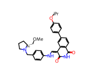 COC[C@H]1CCCN1Cc1ccc(NC=C2C(=O)NC(=O)c3ccc(-c4ccc(OC(C)C)cc4)cc32)cc1